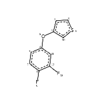 Fc1ccc(Oc2c[c]sc2)cc1F